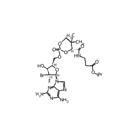 CC(C)OC(=O)CCNC(=O)[C@@H]1OP(=O)(OC[C@H]2O[C@@H](n3cnc4c(N)nc(N)nc43)[C@@](F)(Br)C2O)OCC1(C)C